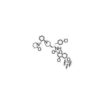 O=C(N[C@H](C=C1CCN(c2ccccc2CN2CCCCC2=O)CC1)Cc1ccc(Cl)cc1)c1cc(=O)c2cc(OC(F)(F)C(F)(F)F)ccc2o1